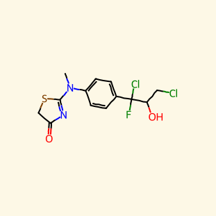 CN(C1=NC(=O)CS1)c1ccc(C(F)(Cl)C(O)CCl)cc1